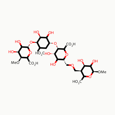 CO[C@H]1OC(C(=O)O)[C@@H](COC[C@H]2OC(C(=O)O)[C@@H](O[C@@H]3CC(C(=O)O)[C@@H](O[C@@H]4OC(C(=O)O)[C@@H](OC)[C@@H](O)C4O)[C@@H](O)C3O)[C@@H](O)C2O)[C@@H](O)C1O